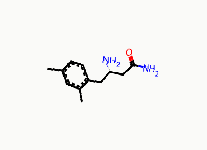 Cc1ccc(C[C@H](N)CC(N)=O)c(C)c1